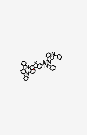 CC1(C)c2cc(-c3nc(-c4ccccc4)nc(-c4cccc5nc(-c6ccccc6)oc45)n3)ccc2-c2ccc(-n3c4ccccc4c4ccc5c6ccccc6n(-c6ccccc6)c5c43)cc21